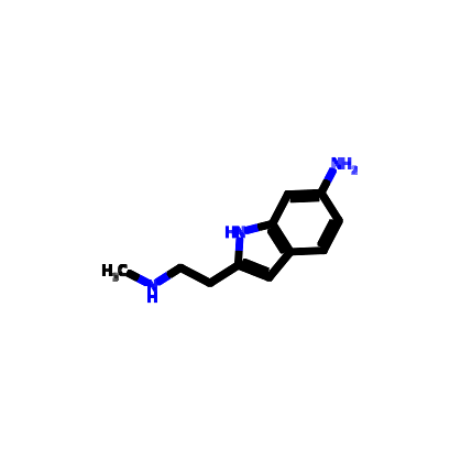 CNCCc1cc2ccc(N)cc2[nH]1